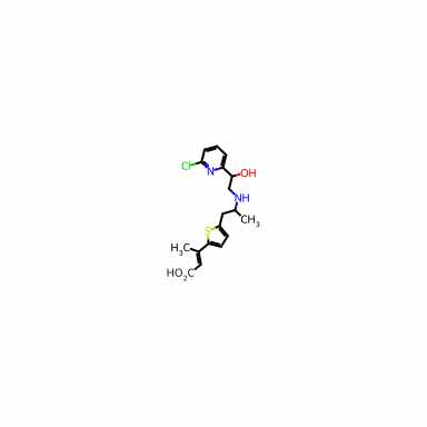 CC(=CC(=O)O)c1ccc(CC(C)NCC(O)c2cccc(Cl)n2)s1